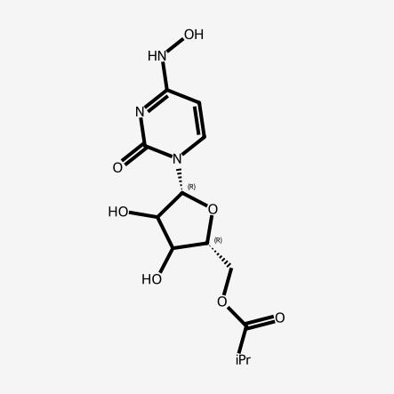 CC(C)C(=O)OC[C@H]1O[C@@H](n2ccc(NO)nc2=O)C(O)C1O